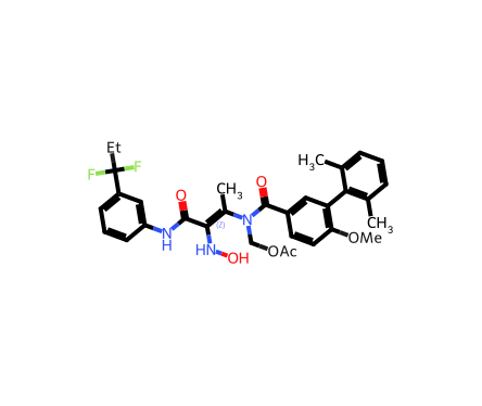 CCC(F)(F)c1cccc(NC(=O)/C(NO)=C(\C)N(COC(C)=O)C(=O)c2ccc(OC)c(-c3c(C)cccc3C)c2)c1